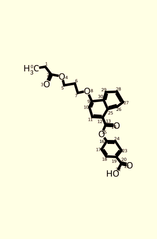 CCC(=O)OCCCOc1ccc(C(=O)Oc2ccc(C(=O)O)cc2)c2ccccc12